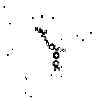 C=CC(=O)OCCCOC1CCC(C(OO)C2CCC(C3CCC(C#N)CC3)CC2)CC1